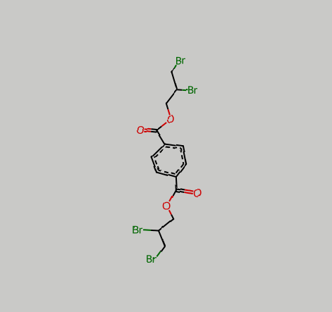 O=C(OCC(Br)CBr)c1ccc(C(=O)OCC(Br)CBr)cc1